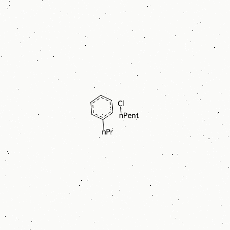 CCCCCCl.CCCc1ccccc1